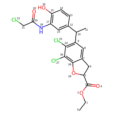 CCOC(=O)C1Cc2cc(C(C)c3ccc(O)c(NC(=O)CCl)c3)c(Cl)c(Cl)c2O1